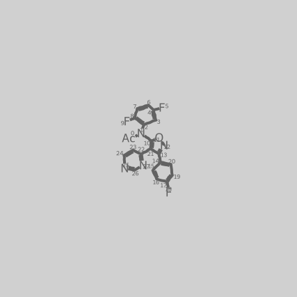 CC(=O)N(c1cc(F)ccc1F)c1onc(-c2ccc(F)cc2)c1-c1ccncn1